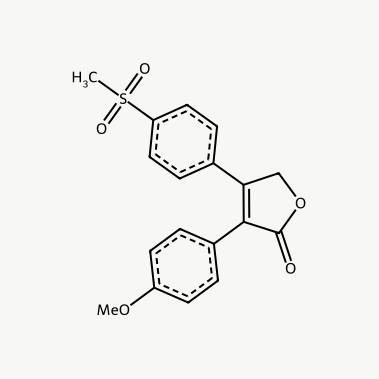 COc1ccc(C2=C(c3ccc(S(C)(=O)=O)cc3)COC2=O)cc1